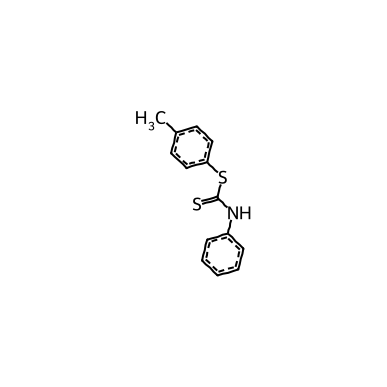 Cc1ccc(SC(=S)Nc2ccccc2)cc1